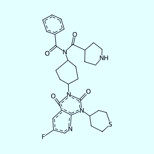 O=C(c1ccccc1)N(C(=O)C1CCNCC1)C1CCC(n2c(=O)c3cc(F)cnc3n(C3CCSCC3)c2=O)CC1